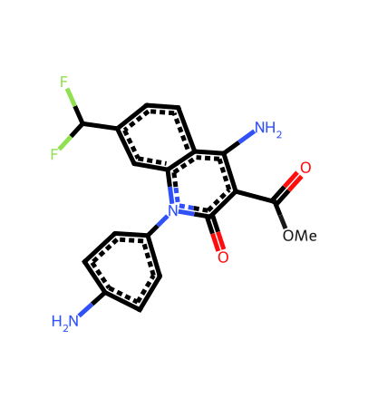 COC(=O)c1c(N)c2ccc(C(F)F)cc2n(-c2ccc(N)cc2)c1=O